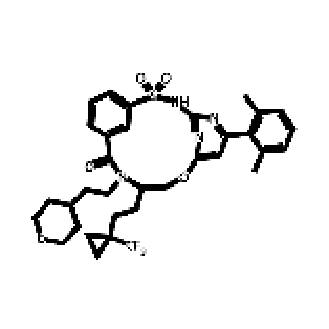 Cc1cccc(C)c1-c1cc2nc(n1)NS(=O)(=O)c1cccc(c1)C(=O)N(CCC1CCOCC1)C(CCC1(C(F)(F)F)CC1)CO2